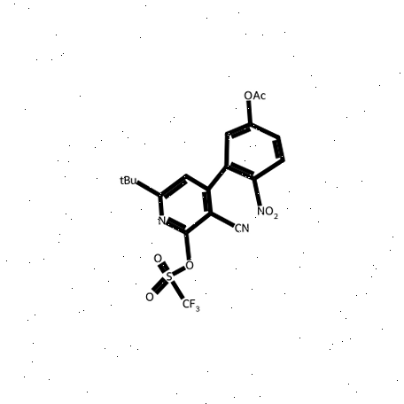 CC(=O)Oc1ccc([N+](=O)[O-])c(-c2cc(C(C)(C)C)nc(OS(=O)(=O)C(F)(F)F)c2C#N)c1